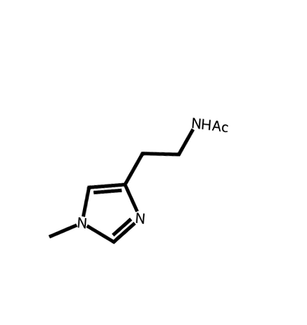 CC(=O)NCCc1cn(C)cn1